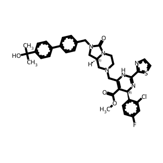 COC(=O)C1=C(CN2CCN3C(=O)N(Cc4ccc(-c5ccc(C(C)(C)O)cc5)cc4)C[C@@H]3C2)NC(c2nccs2)=N[C@H]1c1ccc(F)cc1Cl